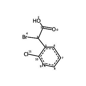 O=C(O)C(Br)c1cccnc1Cl